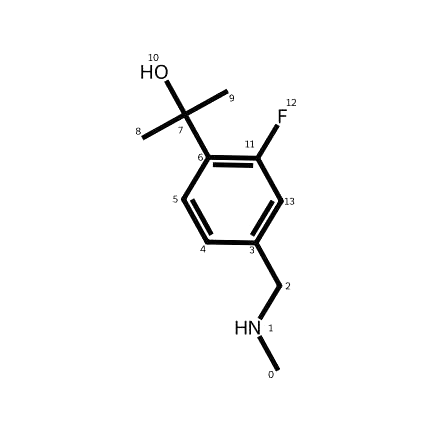 CNCc1ccc(C(C)(C)O)c(F)c1